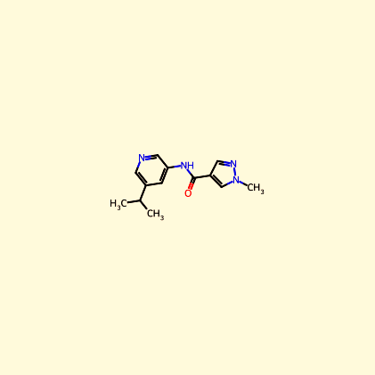 CC(C)c1cncc(NC(=O)c2cnn(C)c2)c1